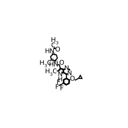 CC(=O)N[C@@H]1CC[C@@H](NC(=O)c2c(C)[nH]c3c(-c4cc(C(F)(F)F)ccc4OCC4CC4)ncnc23)[C@H](C)C1